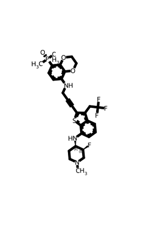 CN1CC[C@@H](Nc2cccc3c(CC(F)(F)F)c(C#CCNc4ccc(P(C)(C)=O)c5c4OCCO5)sc23)[C@@H](F)C1